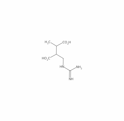 CC(C(=O)O)C(CNC(=N)N)C(=O)O